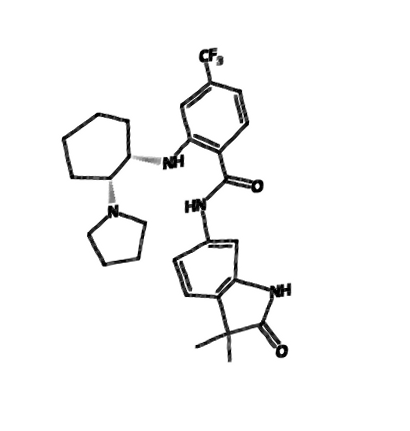 CC1(C)C(=O)Nc2cc(NC(=O)c3ccc(C(F)(F)F)cc3N[C@H]3CCCC[C@H]3N3CCCC3)ccc21